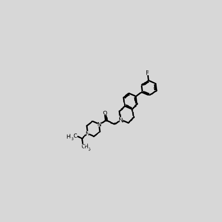 CC(C)N1CCN(C(=O)CN2CCc3cc(-c4cccc(F)c4)ccc3C2)CC1